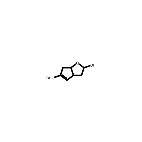 O=CC1=CC2CC(O)OC2C1